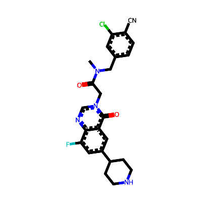 CN(Cc1ccc(C#N)c(Cl)c1)C(=O)Cn1cnc2c(F)cc(C3CCNCC3)cc2c1=O